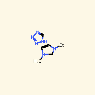 CCN1C=CN(C)C1.c1nnn[nH]1